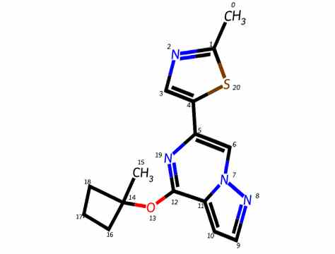 Cc1ncc(-c2cn3nccc3c(OC3(C)C[CH]C3)n2)s1